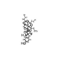 CCCC(=O)O[C@@H]1[C@@H](OC(O)CCC)[C@H](OC(=O)[C@](N)(CF)Cc2ccc(O)cc2)OC[C@H]1OC(=O)CCC